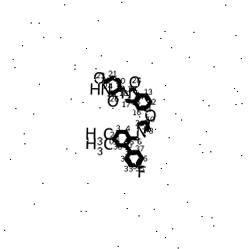 CC1(C)CCC(CN2CC(Oc3ccc4c(c3)CN(C3CCC(=O)NC3=O)C4=O)C2)=C(c2ccc(F)cc2)C1